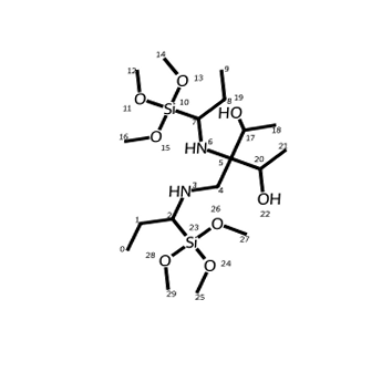 CCC(NCC(NC(CC)[Si](OC)(OC)OC)(C(C)O)C(C)O)[Si](OC)(OC)OC